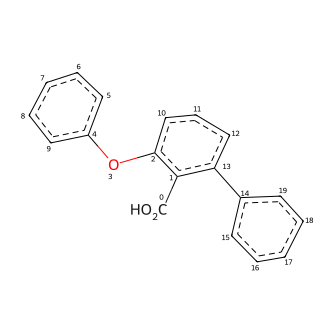 O=C(O)c1c(Oc2ccccc2)cccc1-c1ccccc1